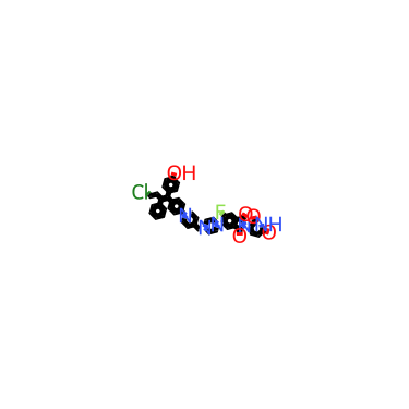 O=C1CCC(N2C(=O)c3cc(F)c(N4CCN(CC5CCN(c6ccc(C(=C(CCCl)c7ccccc7)c7ccc(O)cc7)cc6)CC5)CC4)cc3C2=O)C(=O)N1